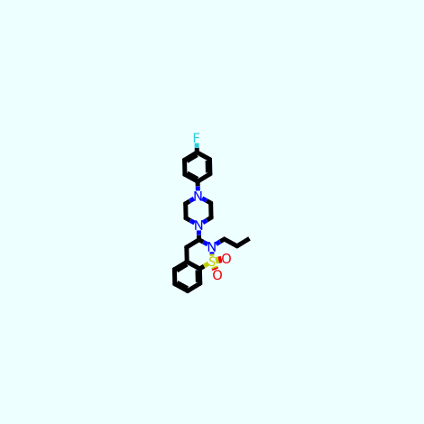 CCCN1C(N2CCN(c3ccc(F)cc3)CC2)Cc2ccccc2S1(=O)=O